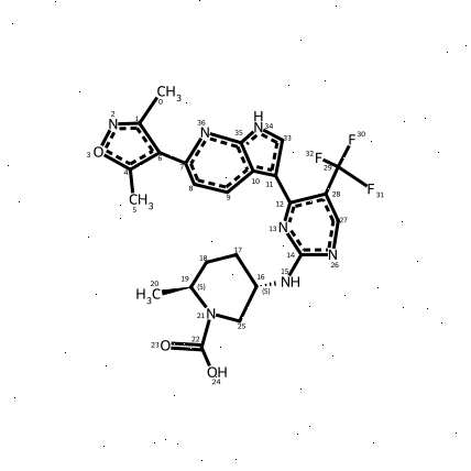 Cc1noc(C)c1-c1ccc2c(-c3nc(N[C@H]4CC[C@H](C)N(C(=O)O)C4)ncc3C(F)(F)F)c[nH]c2n1